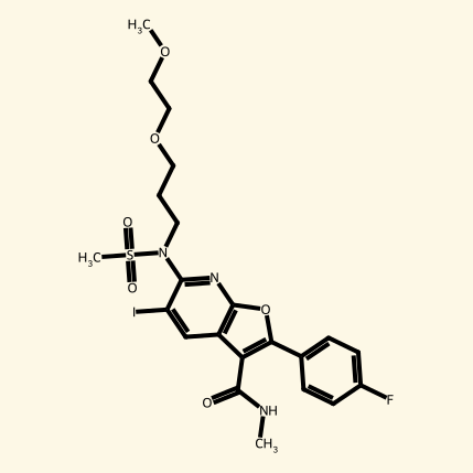 CNC(=O)c1c(-c2ccc(F)cc2)oc2nc(N(CCCOCCOC)S(C)(=O)=O)c(I)cc12